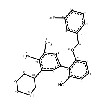 Nc1nc(-c2c(O)cccc2OCc2cccc(F)c2)cc(C2CCCNC2)c1N